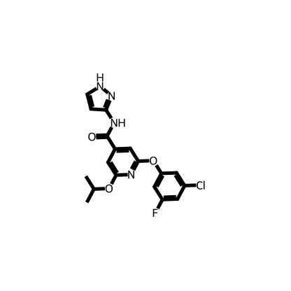 CC(C)Oc1cc(C(=O)Nc2cc[nH]n2)cc(Oc2cc(F)cc(Cl)c2)n1